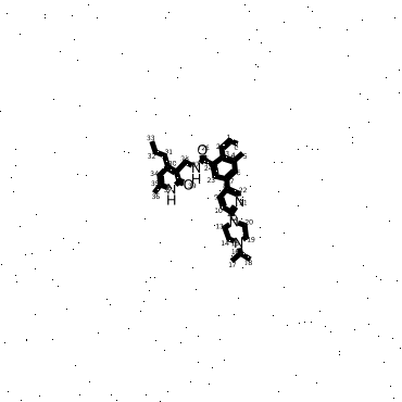 C/C=C\c1c(C)cc(-c2ccc(N3CCN(C(C)C)CC3)nc2)cc1C(=O)NCc1c(CCC)cc(C)[nH]c1=O